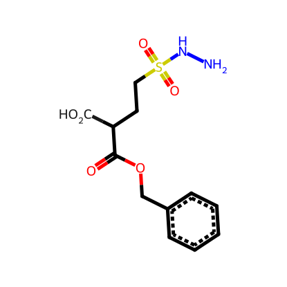 NNS(=O)(=O)CCC(C(=O)O)C(=O)OCc1ccccc1